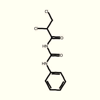 O=C(NC(=O)C(Cl)CCl)Nc1ccccc1